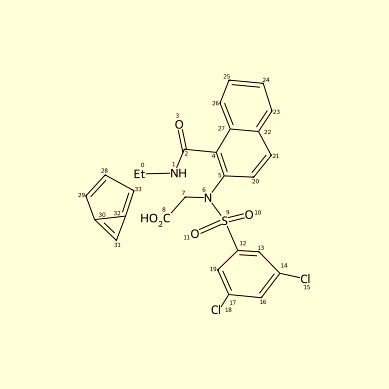 CCNC(=O)c1c(N(CC(=O)O)S(=O)(=O)c2cc(Cl)cc(Cl)c2)ccc2ccccc12.c1cc2cc-2c1